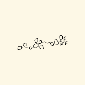 O=C(c1ccc(OCCCCOc2c(Cl)cc(OCC=C(Cl)Cl)cc2Cl)cc1)C(F)(F)F